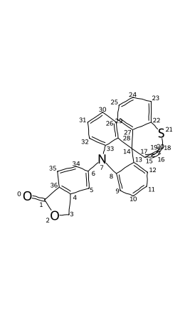 O=C1OCc2cc(N3c4ccccc4C4(c5ccccc5Sc5ccccc54)c4ccccc43)ccc21